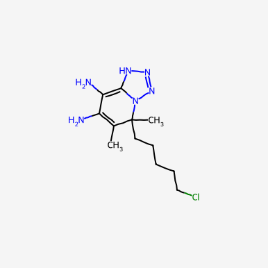 CC1=C(N)C(N)=C2NN=NN2C1(C)CCCCCCl